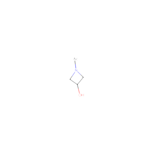 [CH2]C(=O)N1CC(O)C1